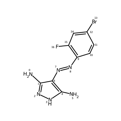 Nc1n[nH]c(N)c1N=Nc1ccc(Br)cc1F